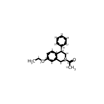 CCOc1ccc2c(c1)CN(C(C)=O)C[C@@H]2c1ccccc1